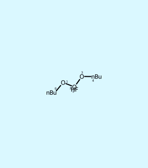 CCCCOOOCCCC.F